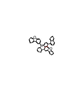 c1ccc(N(c2ccc(-c3cccc4ccccc34)cc2)c2ccc3oc4ccccc4c3c2)c(-c2ccc3oc4ccccc4c3c2)c1